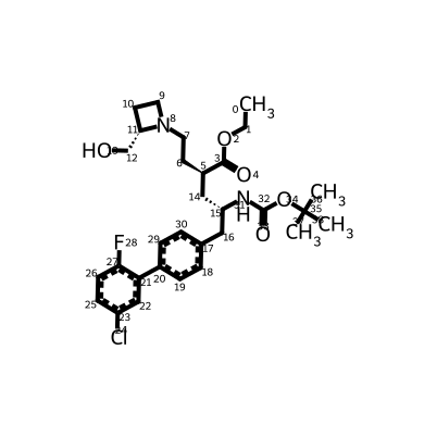 CCOC(=O)[C@H](CCN1CC[C@H]1CO)C[C@@H](Cc1ccc(-c2cc(Cl)ccc2F)cc1)NC(=O)OC(C)(C)C